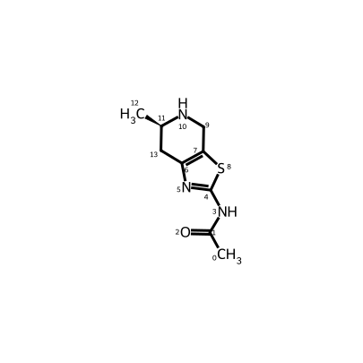 CC(=O)Nc1nc2c(s1)CN[C@H](C)C2